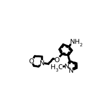 Cn1nccc1-c1cc(N)ccc1OCCN1CCOCC1